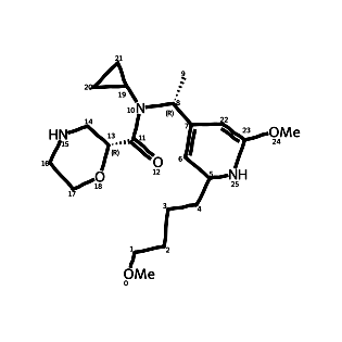 COCCCCC1C=C([C@@H](C)N(C(=O)[C@H]2CNCCO2)C2CC2)C=C(OC)N1